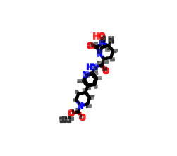 CC(C)(C)OC(=O)N1CCC(c2ccc(NC(=O)[C@@H]3CC[C@@H]4CN3C(=O)N4O)nc2)CC1